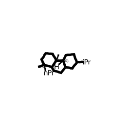 C[C]C[C@@]1(C)CCC[C@@]2(C)C1CCC1CC(C(C)C)CC[C@H]12